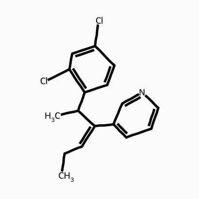 CCC=C(c1cccnc1)C(C)c1ccc(Cl)cc1Cl